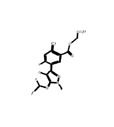 CCOC(=O)COC(=O)c1cc(-c2nn(C)c(OC(F)F)c2Cl)c(F)cc1Cl